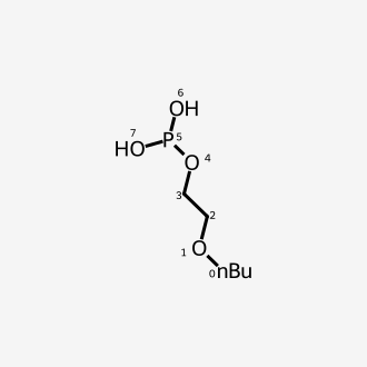 CCCCOCCOP(O)O